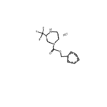 Cl.O=C(OCc1ccccc1)N1CCNC(C(F)(F)F)C1